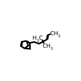 CC=CC(C)(C)CCC1CC2C=CC1C2